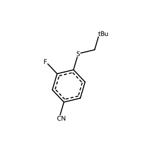 CC(C)(C)CSc1ccc(C#N)cc1F